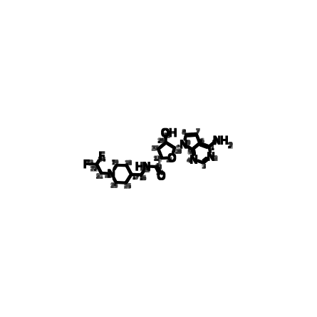 Nc1ncnc2c1ccn2[C@@H]1O[C@H](C(=O)NCC2CCN(CC(F)F)CC2)C[C@H]1O